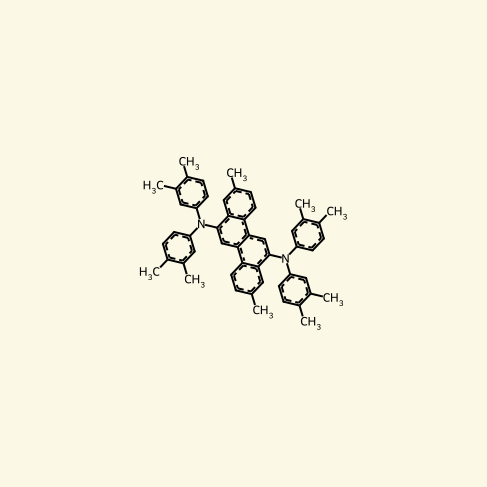 Cc1ccc2c(c1)c(N(c1ccc(C)c(C)c1)c1ccc(C)c(C)c1)cc1c3ccc(C)cc3c(N(c3ccc(C)c(C)c3)c3ccc(C)c(C)c3)cc21